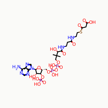 CC(C)(COP(=O)(O)OP(=O)(O)OC[C@H]1OC(n2cnc3c(N)ncnc32)[C@H](O)[C@@H]1OP(=O)(O)O)C(O)C(=O)NCCC(=O)NCCSC(=O)CC(=O)O